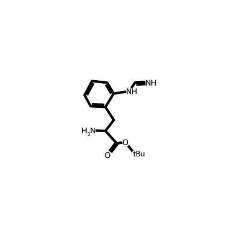 CC(C)(C)OC(=O)C(N)Cc1ccccc1NC=N